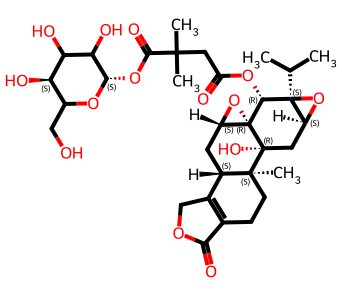 CC(C)[C@]12O[C@H]1C[C@]1(O)[C@]3(O[C@H]3C[C@H]3C4=C(CC[C@@]31C)C(=O)OC4)[C@@H]2OC(=O)CC(C)(C)C(=O)O[C@@H]1OC(CO)[C@@H](O)C(O)C1O